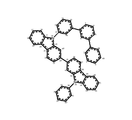 c1ccc(-c2cccc(-c3cccc(-n4c5ccccc5c5ccc(-c6ccc7c8ccccc8n(-c8ccccc8)c7c6)cc54)c3)c2)cc1